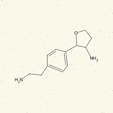 NCCc1ccc(C2OCCC2N)cc1